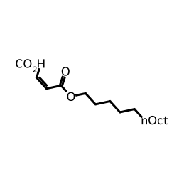 CCCCCCCCCCCCCOC(=O)/C=C\C(=O)O